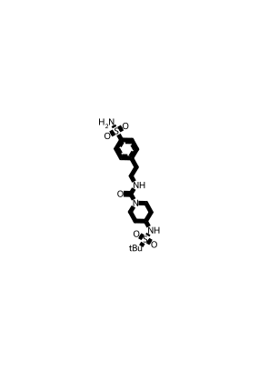 CC(C)(C)S(=O)(=O)NC1CCN(C(=O)NCCc2ccc(S(N)(=O)=O)cc2)CC1